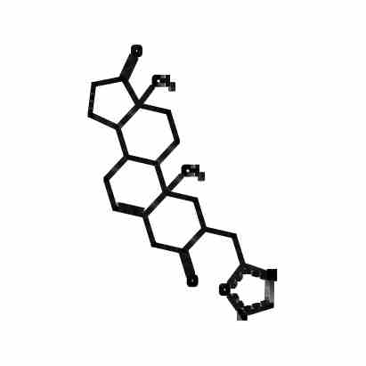 CC12CCC3C(CC=C4CC(=O)C(Cc5ncno5)CC43C)C1CCC2=O